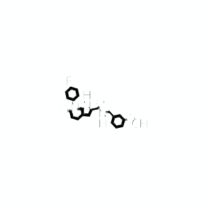 COc1cccc(CNC(=O)c2cc3ccc(=O)n(-c4ccc(F)cc4)c3[nH]2)c1